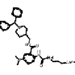 COCCCNC(=O)Nc1ccc(N(C)C)cc1C(=O)NCC1CCN(C(c2ccccc2)c2ccccc2)CC1